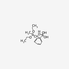 CCO[Si](C)(C)OCC.O[Si](O)(O)c1ccccc1